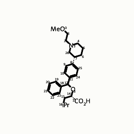 COCCN1CCC[C@H](c2ccc(C(O[C@@H](CC(C)C)C(=O)O)c3ccccc3)cc2)C1